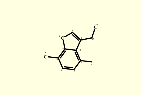 Cc1ccc(Cl)c2occ(CCl)c12